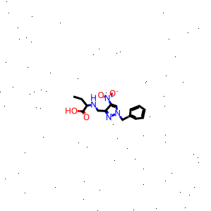 CCC(NCc1nn(Cc2ccccc2)cc1[N+](=O)[O-])C(=O)O